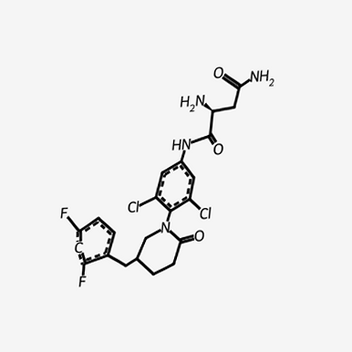 NC(=O)C[C@H](N)C(=O)Nc1cc(Cl)c(N2CC(Cc3ccc(F)cc3F)CCC2=O)c(Cl)c1